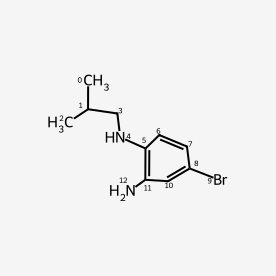 CC(C)CNc1ccc(Br)cc1N